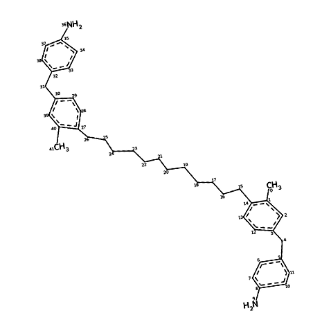 Cc1cc(Cc2ccc(N)cc2)ccc1CCCCCCCCCCCCc1ccc(Cc2ccc(N)cc2)cc1C